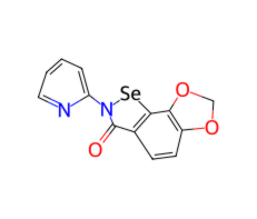 O=c1c2ccc3c(c2[se]n1-c1ccccn1)OCO3